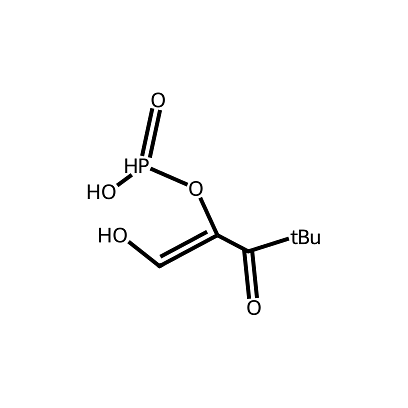 CC(C)(C)C(=O)C(=CO)O[PH](=O)O